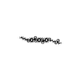 C=CC(=O)OCCCCOc1ccc(C(=O)Oc2ccc(OC(=O)c3ccc(OCCCCCC)cc3)cc2)cc1